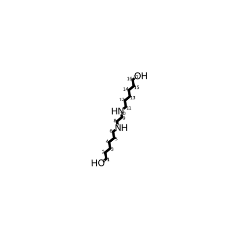 OCCCCCCNCCNCCCCCCO